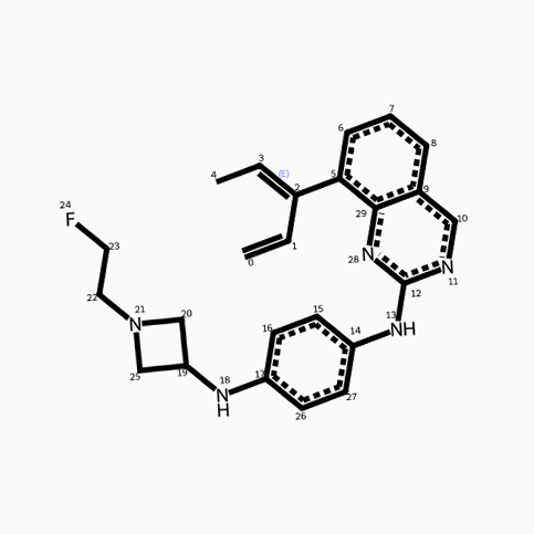 C=C/C(=C\C)c1cccc2cnc(Nc3ccc(NC4CN(CCF)C4)cc3)nc12